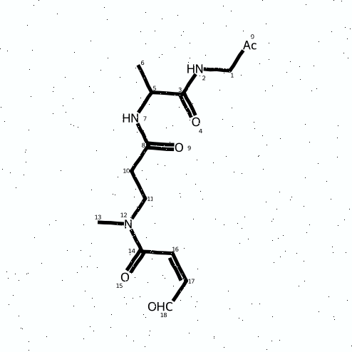 CC(=O)CNC(=O)C(C)NC(=O)CCN(C)C(=O)/C=C\C=O